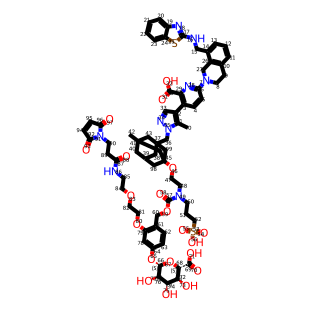 Cc1c(-c2ccc(N3CCc4cccc(CNc5nc6ccccc6s5)c4C3)nc2C(=O)O)cnn1CC12CC3CC(C)(C1)CC(OCCN(CCCS(=O)(=O)O)C(=O)OCc1ccc(O[C@@H]4O[C@H](C(=O)O)[C@@H](O)[C@H](O)[C@H]4O)cc1OCCOCCNC(=O)CCN1C(=O)C=CC1=O)(C3)C2